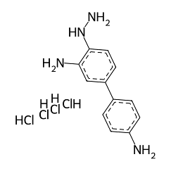 Cl.Cl.Cl.Cl.NNc1ccc(-c2ccc(N)cc2)cc1N